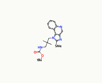 CSc1nc2cnc3ccccc3c2n1CC(C)(C)CNC(=O)OC(C)(C)C